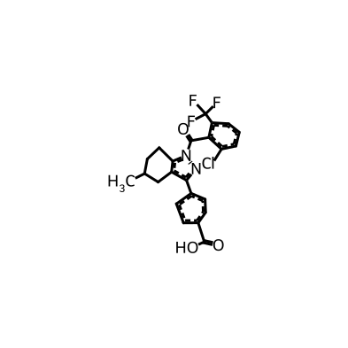 CC1CCc2c(c(-c3ccc(C(=O)O)cc3)nn2C(=O)c2c(Cl)cccc2C(F)(F)F)C1